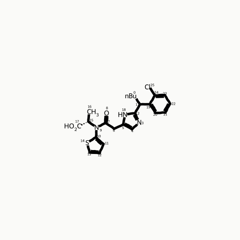 CCCCC(c1ncc(CC(=O)N(c2cccs2)[C@@H](C)C(=O)O)[nH]1)c1ccccc1Cl